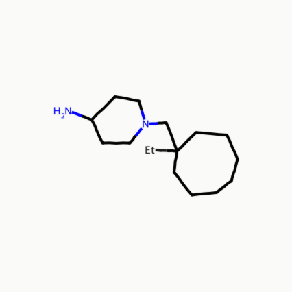 CCC1(CN2CCC(N)CC2)CCCCCCC1